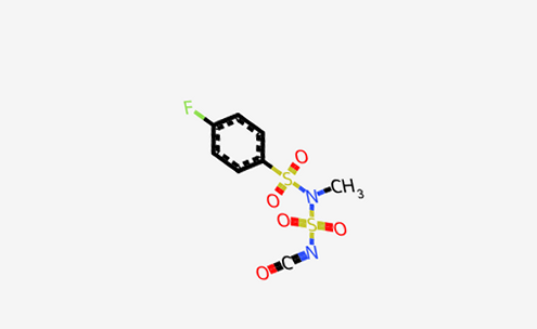 CN(S(=O)(=O)N=C=O)S(=O)(=O)c1ccc(F)cc1